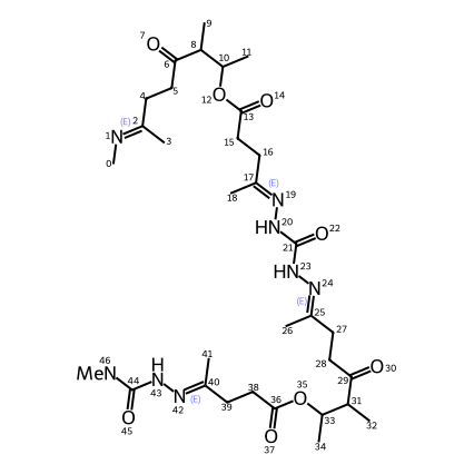 C/N=C(\C)CCC(=O)C(C)C(C)OC(=O)CC/C(C)=N/NC(=O)N/N=C(\C)CCC(=O)C(C)C(C)OC(=O)CC/C(C)=N/NC(=O)NC